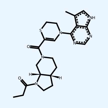 CCC(=O)N1CC[C@H]2CCN(C(=O)C3=CN(c4ncnc5[nH]cc(C)c45)CCS3)C[C@H]21